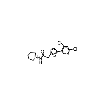 O=C(Cc1ccc(-c2ccc(Cl)cc2Cl)s1)NN1CCCCC1